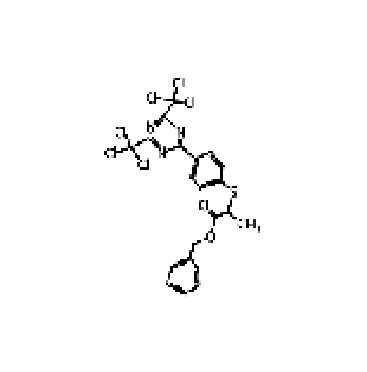 CC(Sc1ccc(-c2nc(C(Cl)(Cl)Cl)nc(C(Cl)(Cl)Cl)n2)cc1)C(=O)OCc1ccccc1